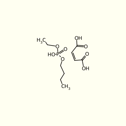 CCCCOP(=O)(O)OCC.O=C(O)/C=C\C(=O)O